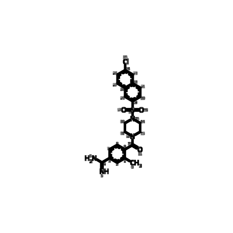 Cc1cc(C(=N)N)ccc1C(=O)N1CCN(S(=O)(=O)c2ccc3cc(Cl)ccc3c2)CC1